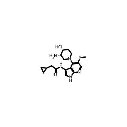 CSc1cnc2[nH]cc(NC(=O)CC3CC3)c2c1N1CCC[C@@H](N)C1.Cl